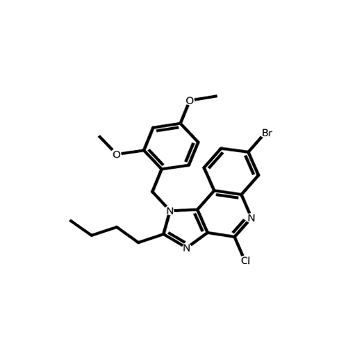 CCCCc1nc2c(Cl)nc3cc(Br)ccc3c2n1Cc1ccc(OC)cc1OC